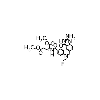 CCOC(=O)CC[C@H](NC(=O)c1ccc(N(CCF)Cc2ccc3nc(N)nc(O)c3c2)cc1)C(=O)OCC